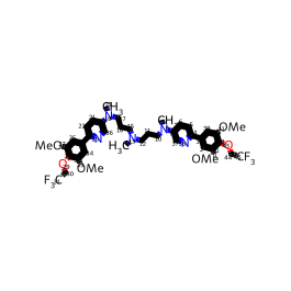 COc1cc(-c2ccc(N(C)CCCN(C)CCCN(C)c3ccc(-c4cc(OC)c(OCC(F)(F)F)c(OC)c4)nc3)cn2)cc(OC)c1OCC(F)(F)F